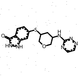 O=c1[nH][nH]c2cc(SC3COCC(Nc4nccnn4)C3)ccc12